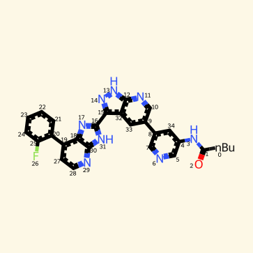 CCCCC(=O)Nc1cncc(-c2cnc3[nH]nc(-c4nc5c(-c6ccccc6F)ccnc5[nH]4)c3c2)c1